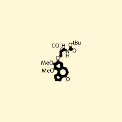 COc1c(OCCC(NC(=O)OC(C)(C)C)C(=O)O)cc2c(c1OC)C1=C(CCC1)C(=O)CC2